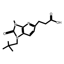 Cn1c(=O)n(CC(C)(C)C)c2ccc(CCC(=O)O)nc21